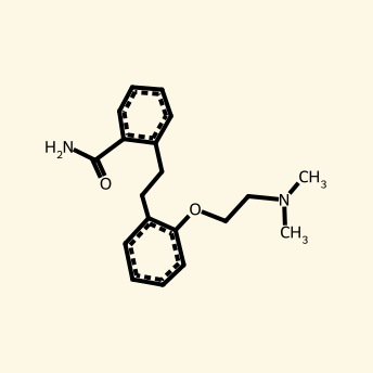 CN(C)CCOc1ccccc1CCc1ccccc1C(N)=O